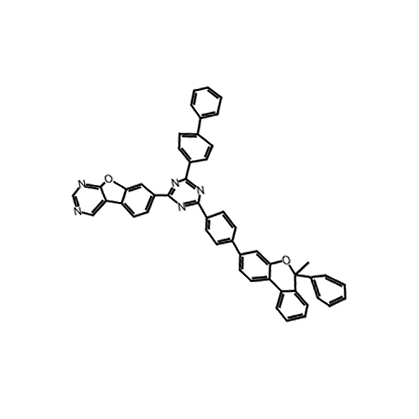 CC1(c2ccccc2)Oc2cc(-c3ccc(-c4nc(-c5ccc(-c6ccccc6)cc5)nc(-c5ccc6c(c5)oc5ncncc56)n4)cc3)ccc2-c2ccccc21